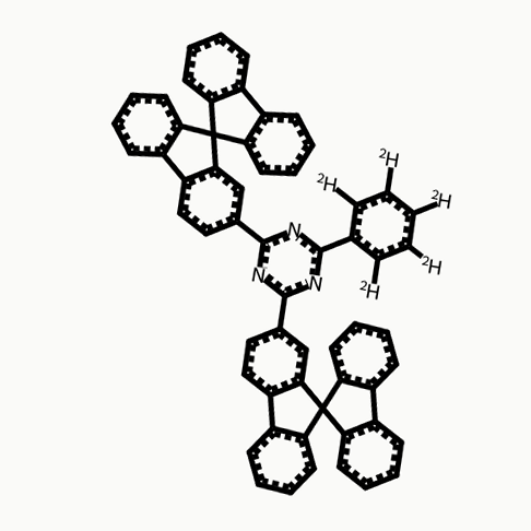 [2H]c1c([2H])c([2H])c(-c2nc(-c3ccc4c(c3)C3(c5ccccc5-c5ccccc53)c3ccccc3-4)nc(-c3ccc4c(c3)C3(c5ccccc5-c5ccccc53)c3ccccc3-4)n2)c([2H])c1[2H]